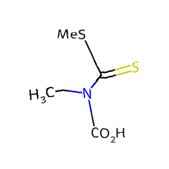 CSC(=S)N(C)C(=O)O